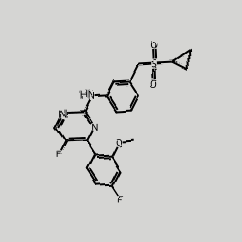 COc1cc(F)ccc1-c1nc(Nc2cccc(CS(=O)(=O)C3CC3)c2)ncc1F